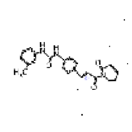 Cc1cccc(NC(=O)Nc2ccc(/C=C/C(=O)N3CCC=CC3=O)cc2)c1